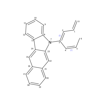 C=C/C=C(\C=C/C)n1c2ccccc2c2cc3ccccc3cc21